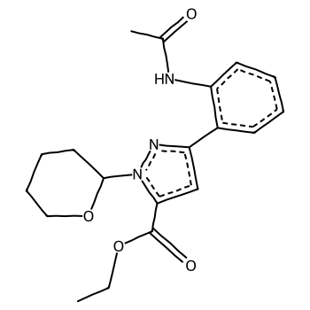 CCOC(=O)c1cc(-c2ccccc2NC(C)=O)nn1C1CCCCO1